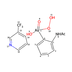 CC(=O)Nc1ccccc1[As](=O)(O)OO.FC(F)(F)c1cccnc1